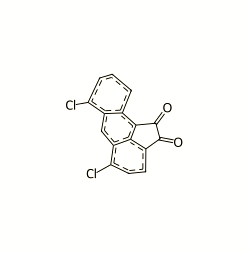 O=C1C(=O)c2c3cccc(Cl)c3cc3c(Cl)ccc1c23